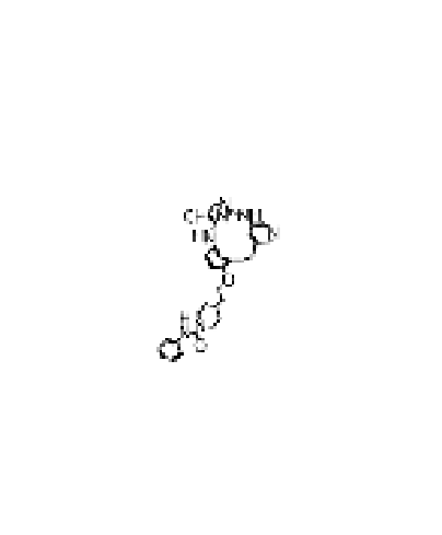 O=C(Nc1ccccc1)N1CCC(CCOc2ccc3cc2CCc2cncc(c2)Nc2ncc(Cl)c(n2)N3)CC1